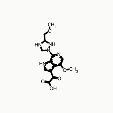 COCC1NCN(c2ncc(OC)c3c(C(=O)C(=O)O)c[nH]c23)N1